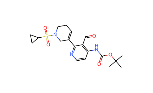 CC(C)(C)OC(=O)Nc1ccnc(C2=CCCN(S(=O)(=O)C3CC3)C2)c1C=O